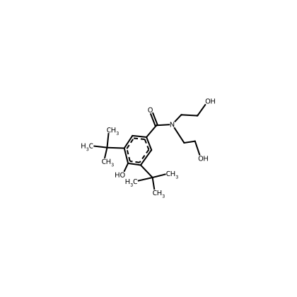 CC(C)(C)c1cc(C(=O)N(CCO)CCO)cc(C(C)(C)C)c1O